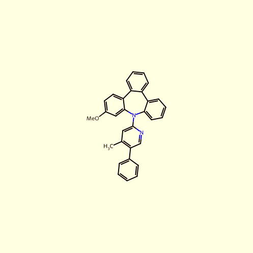 COc1ccc2c(c1)N(c1cc(C)c(-c3ccccc3)cn1)c1ccccc1-c1ccccc1-2